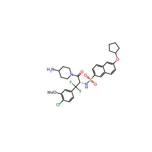 COc1cc(C(F)(F)[C@@H](NS(=O)(=O)c2ccc3cc(OC4CCCC4)ccc3c2)C(=O)N2CCC(N)CC2)ccc1Cl